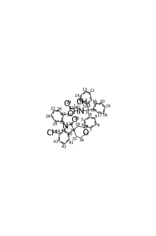 C[C@H](NC(c1ccccc1)(c1ccccc1)c1ccccc1)C(=O)Oc1ccccc1N1C(=O)C2(CCOCC2)c2cccc(Cl)c21